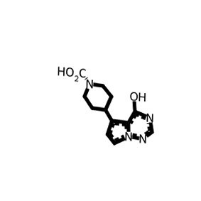 O=C(O)N1CCC(c2ccn3ncnc(O)c23)CC1